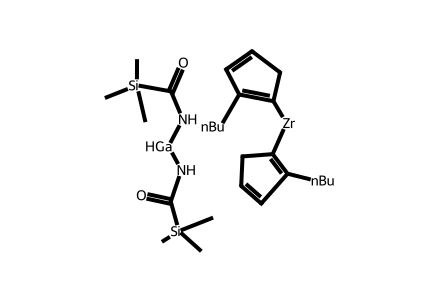 CCCCC1=[C]([Zr][C]2=C(CCCC)C=CC2)CC=C1.C[Si](C)(C)C(=O)[NH][GaH][NH]C(=O)[Si](C)(C)C